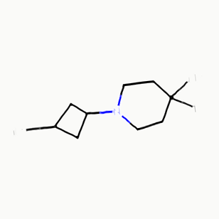 CCCC1(CC)CCN(C2CC(C(C)C)C2)CC1